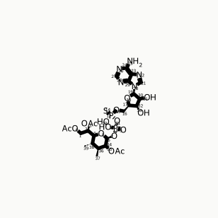 CC(=O)OC[C@@H](OC(C)=O)C1O[C@@H](OP(=O)(O)OP(O)(=S)OC[C@H]2O[C@@H](n3cnc4c(N)ncnc43)C(O)[C@H]2O)C(OC(C)=O)[C@@H](C)[C@@H]1C